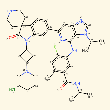 Cc1cc(F)c(Nc2nc(-c3ccc4c(c3)N(C3CC(N5CCCCC5)C3)C(=O)C43CCNCC3)cc3ncn(C(C)C)c23)cc1C(=O)NC(C)C.Cl